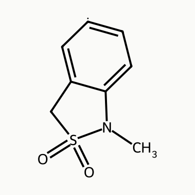 CN1c2cc[c]cc2CS1(=O)=O